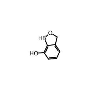 Oc1cccc2c1BOC2